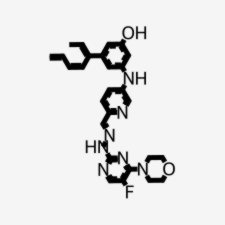 C=C/C=C\C(=C/C)c1cc(O)cc(Nc2ccc(/C=N/Nc3ncc(F)c(N4CCOCC4)n3)nc2)c1